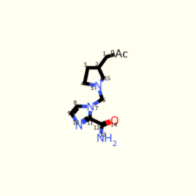 CC(=O)CC1CCN(Cn2ccnc2C(N)=O)C1